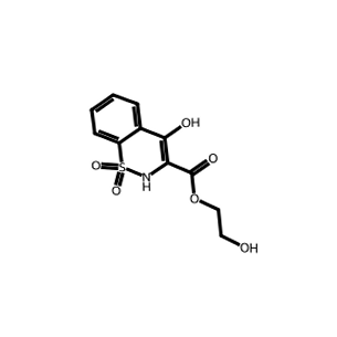 O=C(OCCO)C1=C(O)c2ccccc2S(=O)(=O)N1